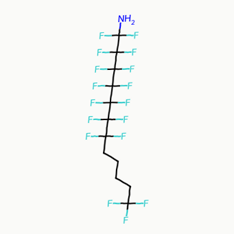 NC(F)(F)C(F)(F)C(F)(F)C(F)(F)C(F)(F)C(F)(F)C(F)(F)CCCCC(F)(F)F